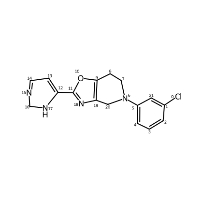 Clc1cccc(N2CCc3oc(C4=CC=NCN4)nc3C2)c1